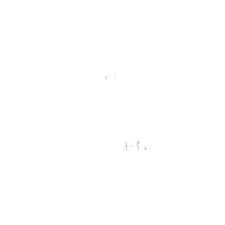 Cc1cc(C)c(C(C)NCc2cccc(OCc3ccccc3)c2)c(C)c1